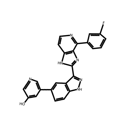 Oc1cncc(-c2ccc3[nH]nc(-c4nc5c(-c6cccc(F)c6)nccc5[nH]4)c3c2)c1